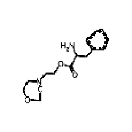 NC(Cc1ccccc1)C(=O)OCCN1CCOCC1